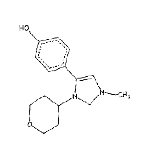 CN1C=C(c2ccc(O)cc2)N(C2CCOCC2)C1